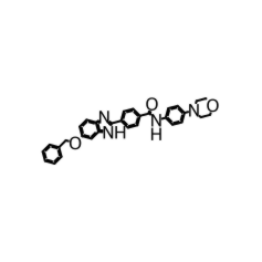 O=C(Nc1ccc(N2CCOCC2)cc1)c1ccc(-c2nc3ccc(OCc4ccccc4)cc3[nH]2)cc1